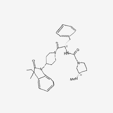 CN[C@H]1CCN(C(=O)N[C@@H](Cc2ccccc2)C(=O)N2CCC(N3C(=O)C(C)(C)c4ccccc43)CC2)C1